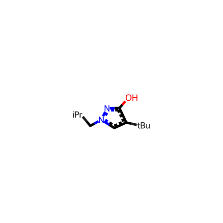 CC(C)Cn1cc(C(C)(C)C)c(O)n1